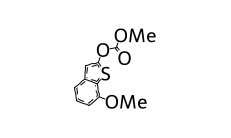 COC(=O)Oc1cc2cccc(OC)c2s1